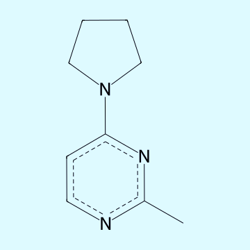 Cc1nccc(N2CCCC2)n1